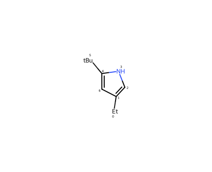 CCc1c[nH]c(C(C)(C)C)c1